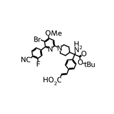 COc1cc(N2CCC(C(N)(C(=O)OC(C)(C)C)c3ccc(C=CC(=O)O)cc3)CC2)nc(-c2ccc(C#N)c(F)c2)c1Br